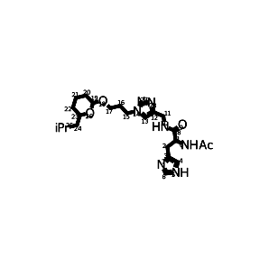 CC(=O)NC(Cc1c[nH]cn1)C(=O)NCc1cn(CCCOC2CCCC(CC(C)C)O2)nn1